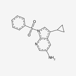 Nc1cnc2c(c1)c(C1CC1)cn2S(=O)(=O)c1ccccc1